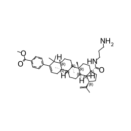 C=C(C)[C@@H]1CC[C@]2(C(=O)NCCCN)CC[C@]3(C)[C@H](CC[C@@H]4[C@@]5(C)CC=C(c6ccc(C(=O)OC)cc6)C(C)(C)[C@@H]5CC[C@]43C)[C@@H]12